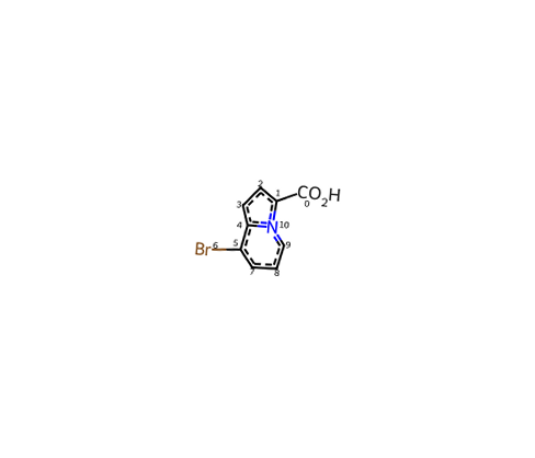 O=C(O)c1ccc2c(Br)cccn12